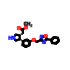 COC(=O)C[C@H]1CNC[C@H]1c1cccc(OCc2noc(-c3ccccc3)n2)c1